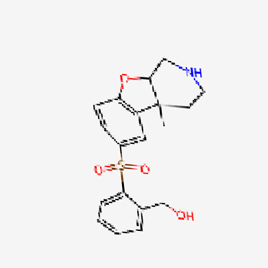 CC12CCNCC1Oc1ccc(S(=O)(=O)c3ccccc3CO)cc12